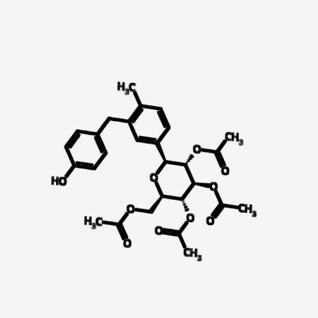 CC(=O)OC[C@H]1O[C@@H](c2ccc(C)c(Cc3ccc(O)cc3)c2)[C@H](OC(C)=O)[C@@H](OC(C)=O)[C@@H]1OC(C)=O